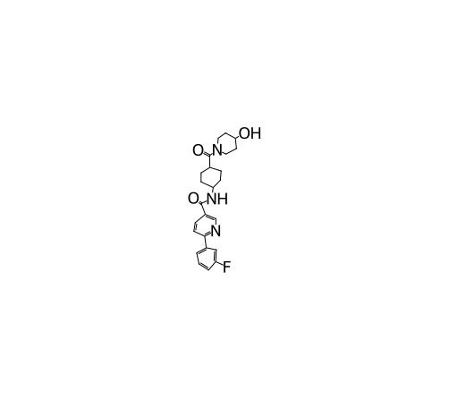 O=C(NC1CCC(C(=O)N2CCC(O)CC2)CC1)c1ccc(-c2cccc(F)c2)nc1